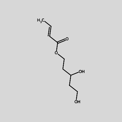 C/C=C/C(=O)OCCC(O)CCO